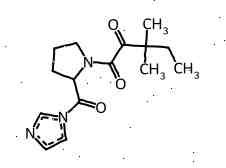 CCC(C)(C)C(=O)C(=O)N1CCCC1C(=O)n1ccnc1